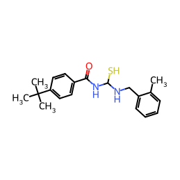 Cc1ccccc1CNC(S)NC(=O)c1ccc(C(C)(C)C)cc1